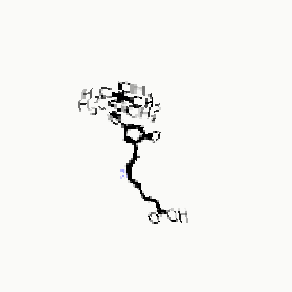 CC(C)(C)[Si](C)(C)OC1C=C(C/C=C\CCCC(=O)O)C(=O)C1